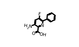 Nc1cc(F)c(-c2ccccc2)nc1C(=O)O